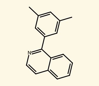 Cc1cc(C)cc(-c2nccc3ccccc23)c1